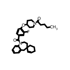 CCCCC(=O)N1CCC(Oc2ccc(C(=O)N3CCC4(C=CCCC4)Cc4ccccc43)cc2F)CC1